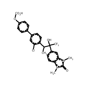 CC(c1ccc(-c2ccc(OC(=O)O)cc2)cc1Cl)C(O)(c1ccc2c(c1)n(C)c(=O)n2C)C(F)(F)F